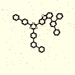 c1ccc(-c2ccc(-c3nc(-c4ccc(-c5cccc(-c6ccccc6)c5)cc4)nc(-c4ccc5c(c4)oc4cccc(-c6ccc(-c7ccccc7)cc6-c6ccccc6)c45)n3)cc2)cc1